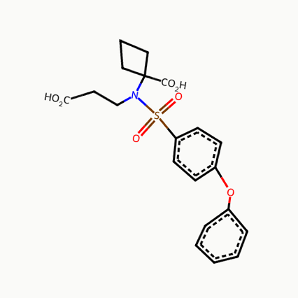 O=C(O)CCN(C1(C(=O)O)CCC1)S(=O)(=O)c1ccc(Oc2ccccc2)cc1